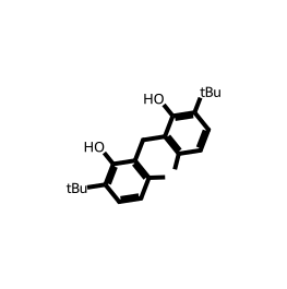 Cc1ccc(C(C)(C)C)c(O)c1Cc1c(C)ccc(C(C)(C)C)c1O